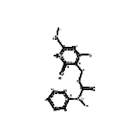 CSc1nc(C)c(CCC(=O)N(C)c2ccccc2)c(=O)[nH]1